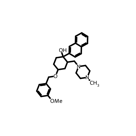 COc1cccc(COC2CCC(O)(c3ccc4ccccc4c3)C(CN3CCN(C)CC3)C2)c1